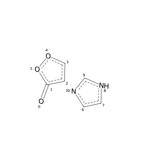 O=c1ccoo1.c1c[nH]cn1